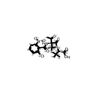 CC(=O)[C@]1(NC(=O)c2c(Cl)cccc2[N+](=O)[O-])C(=O)N2[C@@H](C(=O)O)C(C)(C)S[C@@H]21